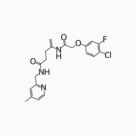 C=C(CCC(=O)NCc1cc(C)ccn1)NC(=O)COc1ccc(Cl)c(F)c1